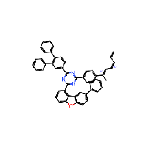 C=C/C=C\C=C(/C)c1ccc(-c2nc(-c3ccc(-c4ccccc4)c(-c4ccccc4)c3)nc(-c3cccc4oc5ccc(-c6ccccc6)cc5c34)n2)cc1